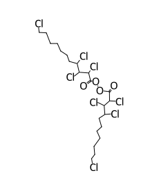 O=C(OOC(=O)C(Cl)C(Cl)C(Cl)CCCCCCCCl)C(Cl)C(Cl)C(Cl)CCCCCCCCl